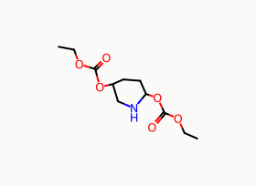 CCOC(=O)OC1CCC(OC(=O)OCC)NC1